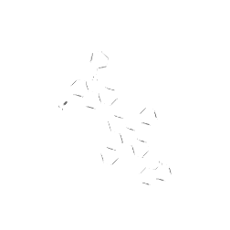 N#Cc1ccc2c3c1ccc1c(-c4ccc5c(-c6ccccc6)c6cc(-c7cccc8cccnc78)ccc6c(-c6ccccc6)c5c4)ccc(c13)n2-c1ccccc1